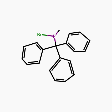 CP(Br)C(c1ccccc1)(c1ccccc1)c1ccccc1